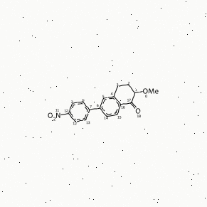 COC1CCc2cc(-c3ccc([N+](=O)[O-])cc3)ccc2C1=O